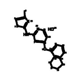 Cc1csc(Nc2cc(Oc3cccc4c3CCCC4)ccn2)n1.Cl